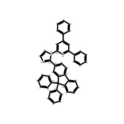 c1ccc(-c2cc(-c3ccccc3)nc(-n3ccnc3-c3ccc4c(c3)C(c3ccccc3)(c3ccccc3)c3ccccc3-4)c2)cc1